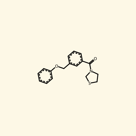 O=C(c1cccc(COc2ccccc2)c1)N1CCSC1